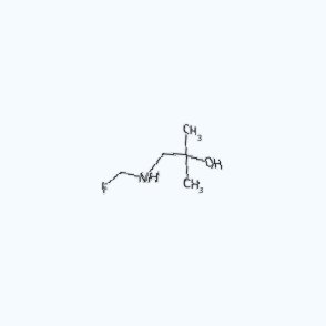 CC(C)(O)CNCF